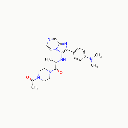 CC(=O)N1CCN(C(=O)C(C)Nc2c(-c3ccc(N(C)C)cc3)nc3cnccn23)CC1